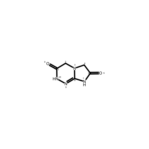 O=C1CN2CC(=O)NC2=NN1